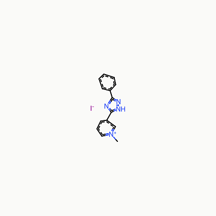 C[n+]1cccc(-c2nc(-c3ccccc3)n[nH]2)c1.[I-]